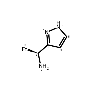 CC[C@H](N)c1cc[nH]n1